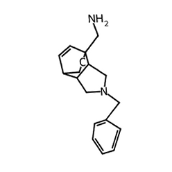 NCC12C=CC(CC1)C1CN(Cc3ccccc3)CC12